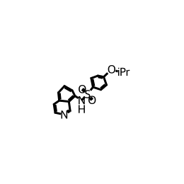 CC(C)Oc1ccc(S(=O)(=O)Nc2cccc3ccncc23)cc1